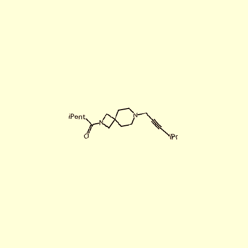 CCCC(C)C(=O)N1CC2(CCN(CC#CC(C)C)CC2)C1